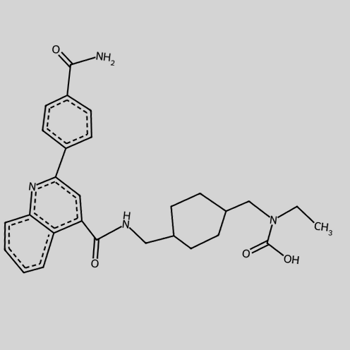 CCN(CC1CCC(CNC(=O)c2cc(-c3ccc(C(N)=O)cc3)nc3ccccc23)CC1)C(=O)O